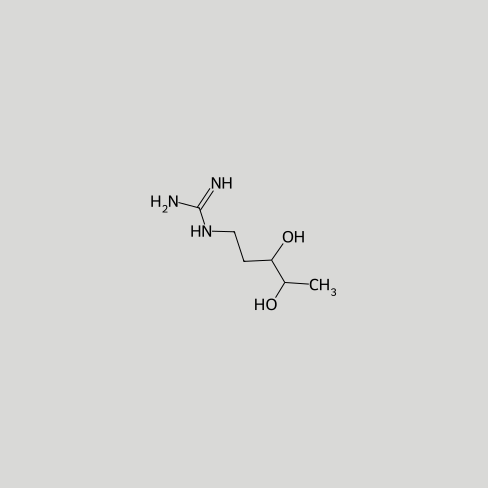 CC(O)C(O)CCNC(=N)N